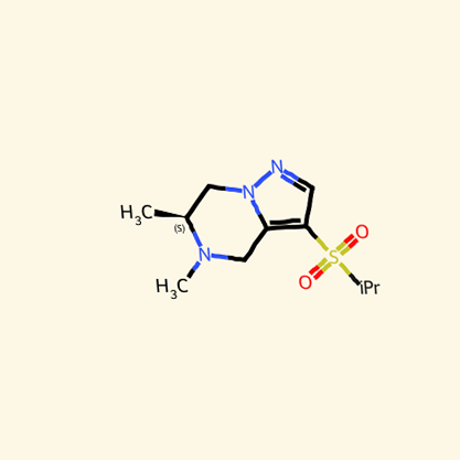 CC(C)S(=O)(=O)c1cnn2c1CN(C)[C@@H](C)C2